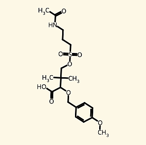 COc1ccc(COC(C(=O)O)C(C)(C)COS(=O)(=O)CCCNC(C)=O)cc1